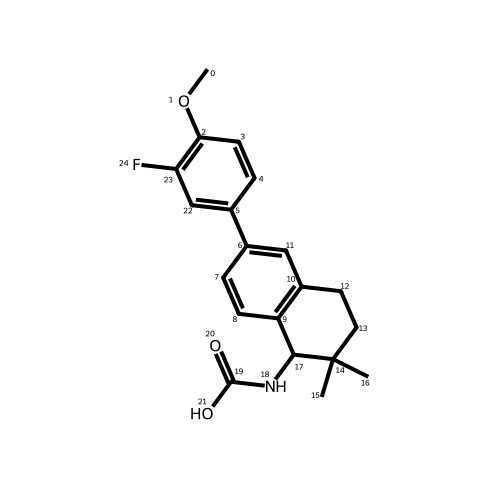 COc1ccc(-c2ccc3c(c2)CCC(C)(C)C3NC(=O)O)cc1F